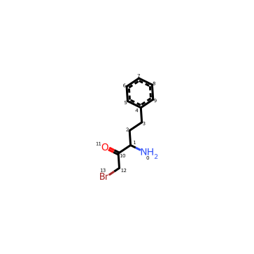 NC(CCc1ccccc1)C(=O)CBr